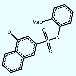 COc1ccccc1NS(=O)(=O)c1cc(O)c2ccccc2c1